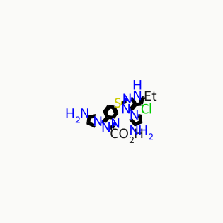 CCc1[nH]c2nc(Sc3ccc4c(N5CC[C@@H](N)C5)nc(C(=O)O)nc4c3)nc(N3CC[C@H](N)C3)c2c1Cl